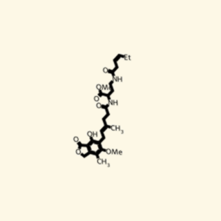 CC/C=C\CC(=O)NCCC(NC(=O)CC/C(C)=C/Cc1c(O)c2c(c(C)c1OC)COC2=O)C(=O)OC